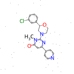 Cn1c(N2CCOC(c3cccc(Cl)c3)C2)nc(-c2ccncc2)cc1=O